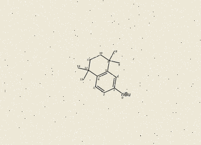 CCCCc1ccc2c(c1)C(C)(C)CCC2(C)C